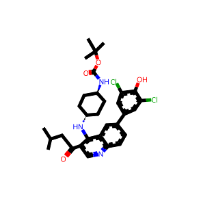 CC(C)CC(=O)c1cnc2ccc(-c3cc(Cl)c(O)c(Cl)c3)cc2c1N[C@H]1CC[C@H](NC(=O)OC(C)(C)C)CC1